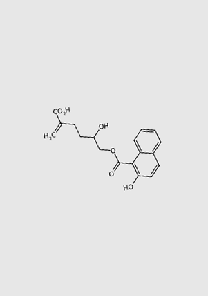 C=C(CCC(O)COC(=O)c1c(O)ccc2ccccc12)C(=O)O